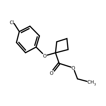 CCOC(=O)C1(Oc2ccc(Cl)cc2)CCC1